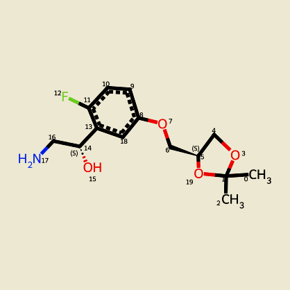 CC1(C)OC[C@H](COc2ccc(F)c([C@H](O)CN)c2)O1